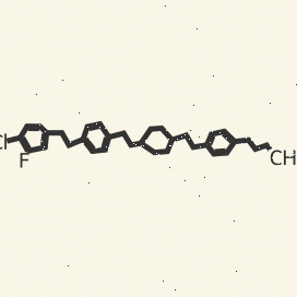 CCCCc1ccc(CCC2CCC(CCc3ccc(CCc4ccc(Cl)c(F)c4)cc3)CC2)cc1